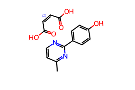 Cc1ccnc(-c2ccc(O)cc2)n1.O=C(O)/C=C\C(=O)O